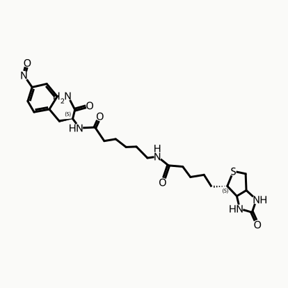 NC(=O)[C@H](Cc1ccc(N=O)cc1)NC(=O)CCCCCNC(=O)CCCC[C@@H]1SCC2NC(=O)NC21